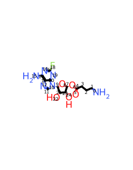 NCCCC(=O)O[C@H]1O[C@@H](n2cnc3c(N)nc(F)nc32)[C@H](O)[C@@H]1O